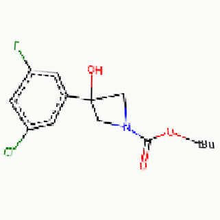 CC(C)(C)OC(=O)N1CC(O)(c2cc(F)cc(Cl)c2)C1